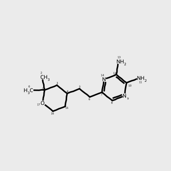 CC1(C)CC(CCc2cnc(N)c(N)n2)CCO1